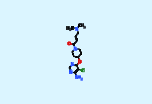 CN(C)C/C=C/C(=O)N1CCC(Oc2ncnc(N)c2Cl)CC1